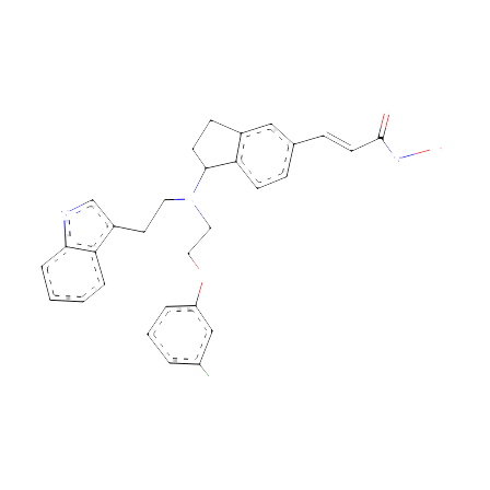 O=C(C=Cc1ccc2c(c1)CCC2N(CCOc1cccc(Cl)c1)CCc1c[nH]c2ccccc12)NO